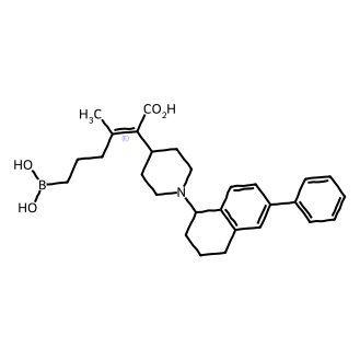 C/C(CCCB(O)O)=C(\C(=O)O)C1CCN(C2CCCc3cc(-c4ccccc4)ccc32)CC1